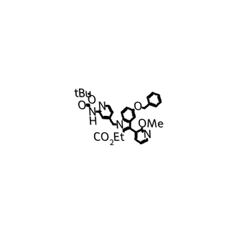 CCOC(=O)c1c(-c2cccnc2OC)c2cc(OCc3ccccc3)ccc2n1Cc1ccnc(NC(=O)OC(C)(C)C)c1